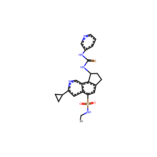 CC(C)CNS(=O)(=O)c1cc2c(c3cnc(C4CC4)cc13)C(NC(=S)Nc1cccnc1)CC2